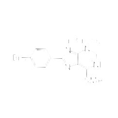 CCCC[N+]1([O-])CNC(SC)=C2N=C(c3ccc(Br)cc3)N=C21